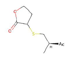 CC(=O)[C@@H](C)CSC1CCOC1=O